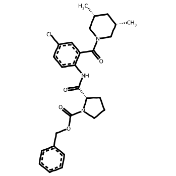 C[C@@H]1C[C@H](C)CN(C(=O)c2cc(Cl)ccc2NC(=O)[C@@H]2CCCN2C(=O)OCc2ccccc2)C1